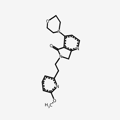 COc1cccc(CCN2Cc3nccc(N4CCOCC4)c3C2=O)n1